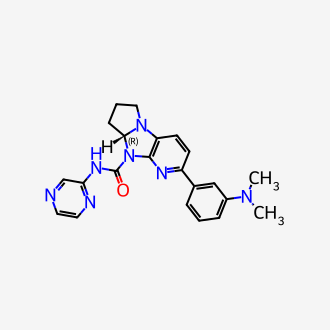 CN(C)c1cccc(-c2ccc3c(n2)N(C(=O)Nc2cnccn2)[C@@H]2CCCN32)c1